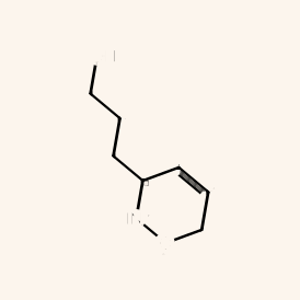 OCCCC1C=CCON1